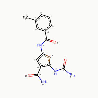 NC(=O)Nc1sc(NC(=O)c2cccc(C(F)(F)F)c2)cc1C(N)=O